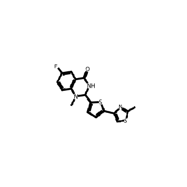 Cc1nc(-c2ccc(C3NC(=O)c4cc(F)ccc4N3C)s2)cs1